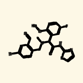 CN(Cc1ccc(Br)cc1C=O)C(C(=O)Nc1nccs1)c1cc(F)ccc1OO